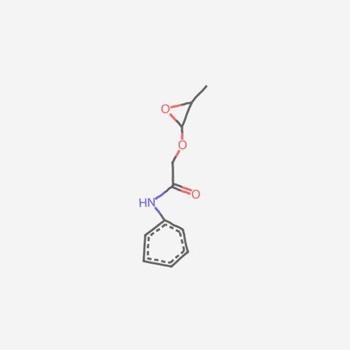 CC1OC1OCC(=O)Nc1ccccc1